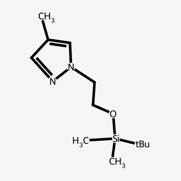 Cc1cnn(CCO[Si](C)(C)C(C)(C)C)c1